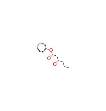 CCCC(=O)CC(=O)Oc1ccccc1